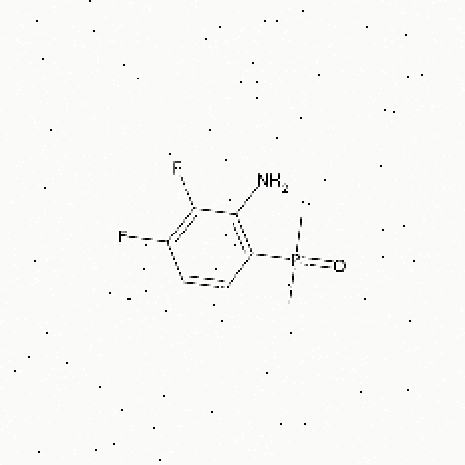 CP(C)(=O)c1ccc(F)c(F)c1N